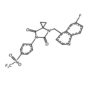 O=C1N(c2ccc(S(=O)(=O)C(F)(F)F)cc2)C(=O)C2(CC2)N1Cc1ccnc2ccc(F)cc12